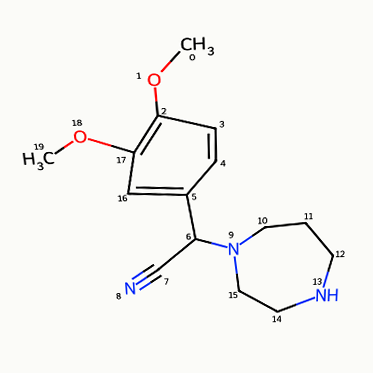 COc1ccc(C(C#N)N2CCCNCC2)cc1OC